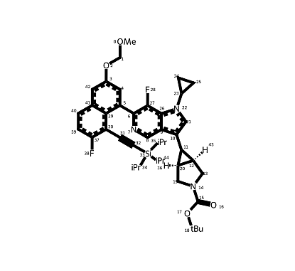 COCOc1cc(-c2ncc3c(C4[C@H]5CN(C(=O)OC(C)(C)C)C[C@@H]45)cn(C4CC4)c3c2F)c2c(C#C[Si](C(C)C)(C(C)C)C(C)C)c(F)ccc2c1